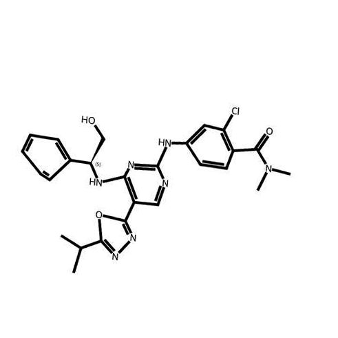 CC(C)c1nnc(-c2cnc(Nc3ccc(C(=O)N(C)C)c(Cl)c3)nc2N[C@H](CO)c2ccccc2)o1